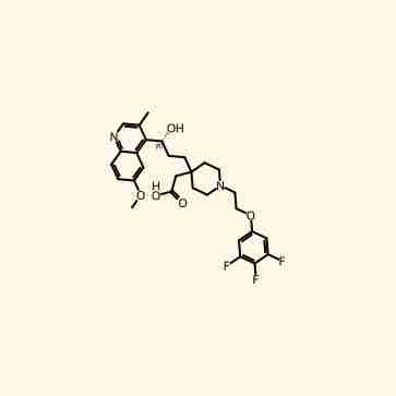 COc1ccc2ncc(C)c([C@H](O)CCC3(CC(=O)O)CCN(CCOc4cc(F)c(F)c(F)c4)CC3)c2c1